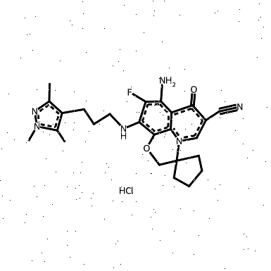 Cc1nn(C)c(C)c1CCCNc1c(F)c(N)c2c(=O)c(C#N)cn3c2c1OCC31CCCC1.Cl